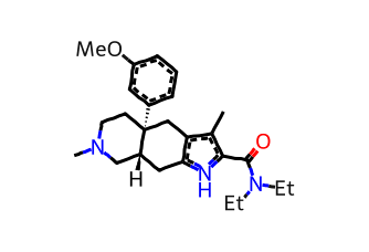 CCN(CC)C(=O)c1[nH]c2c(c1C)C[C@]1(c3cccc(OC)c3)CCN(C)C[C@H]1C2